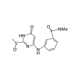 CNC(=O)c1cccc(Nc2cc(=O)[nH]c([S+](C)[O-])n2)c1